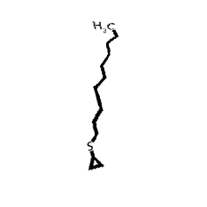 CCCCCCCCCCSC1CC1